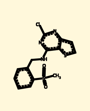 CS(=O)(=O)c1ccccc1CNc1nc(Cl)nc2ccsc12